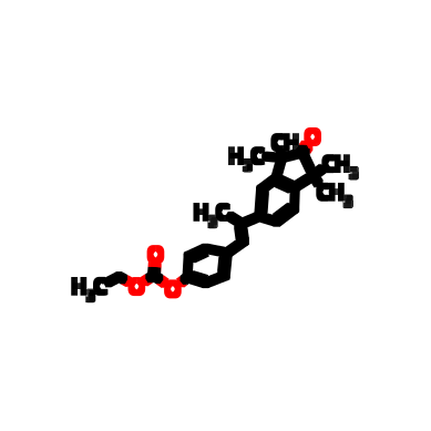 CCOC(=O)Oc1ccc(C=C(C)c2ccc3c(c2)C(C)(C)C(=O)C3(C)C)cc1